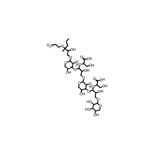 CCCC(C)(OCCN)C(O)COC1OCC(O)C(OC(OC(CO)C(=O)O)C(O)COC2OCC(O)C(OC(OC(CO)C(=O)O)C(O)COC3OCC(O)C(O)C3O)C2O)C1O